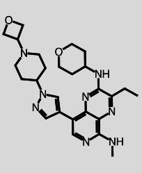 CCc1nc2c(NC)ncc(-c3cnn(C4CCN(C5COC5)CC4)c3)c2nc1NC1CCOCC1